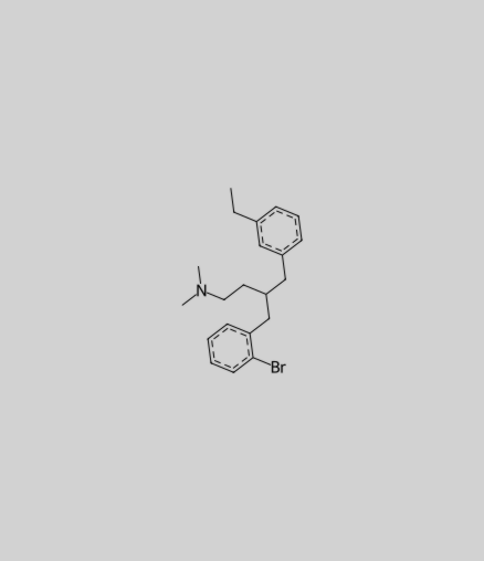 CCc1cccc(CC(CCN(C)C)Cc2ccccc2Br)c1